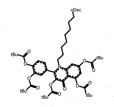 CCCCCCCCCCCCCCCCCCn1c(-c2ccc(OC(=O)C(C)(C)C)c(OC(=O)C(C)(C)C)c2)c(OC(=O)C(C)(C)C)c(=O)c2c(OC(=O)C(C)(C)C)cc(OC(=O)C(C)(C)C)cc21